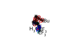 Cn1nc(C(F)(F)C(F)(F)F)c(C(F)(F)F)c1-n1cc(-c2ccc(Cl)c(C(=O)N(COC(=O)O[C@@H]3CCC[C@H]3OC(=O)CCC(=O)OC(C)(C)C)C3(C#N)CC3)c2)cn1